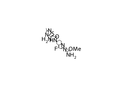 COC1(C)CN(c2cc(F)c3c(n2)CCC(NC(=O)c2sc4nc(C)cnc4c2N)C3)CC1N